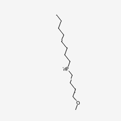 CCCCCCCCPCCCCOC